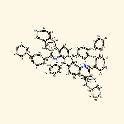 c1ccc(-c2cccc(-c3nc4c(ccc5c(-c6ccccc6)c6c(ccc7c8c(c(-c9cccc(-c%10ccccc%10)c9)nc76)C6CC8c7ccccc76)c(-c6ccccc6)c54)c4c3C3CC4c4ccccc43)c2)cc1